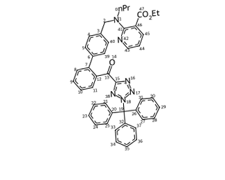 CCCN(Cc1ccc(-c2ccccc2C(=O)c2nnn(C(c3ccccc3)(c3ccccc3)c3ccccc3)n2)cc1)c1ncccc1C(=O)OCC